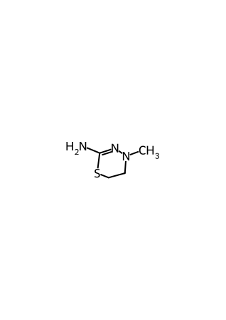 CN1CCSC(N)=N1